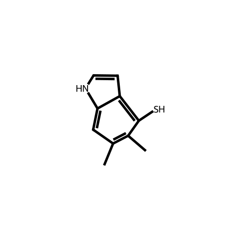 Cc1cc2[nH]ccc2c(S)c1C